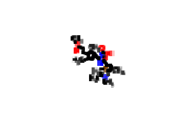 CCOC(=O)CCc1c(C)cc(-c2noc(-c3cc(C)c(CN(C)C(C)C)s3)n2)cc1CC.O=CO